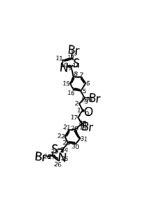 O=C(C[C@H](Br)c1ccc(-c2ncc(Br)s2)cc1)C[C@H](Br)c1ccc(-c2ncc(Br)s2)cc1